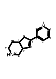 C1=C(c2cccnc2)CC2CCNCC12